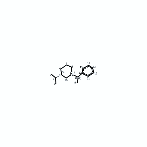 CC(C)[C@@H]1CCCN([C@H](C)c2ccccc2)C1